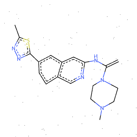 C=C(Nc1cc2cc(-c3nnc(C)s3)ccc2cn1)N1CCN(C)CC1